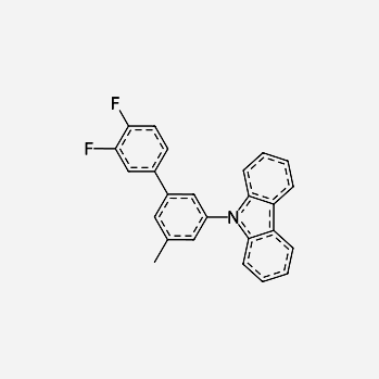 Cc1cc(-c2ccc(F)c(F)c2)cc(-n2c3ccccc3c3ccccc32)c1